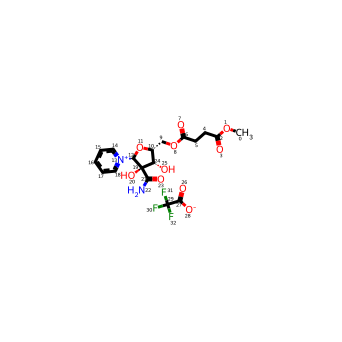 COC(=O)CCC(=O)OC[C@H]1O[C@@H]([n+]2ccccc2)[C@@](O)(C(N)=O)[C@H]1O.O=C([O-])C(F)(F)F